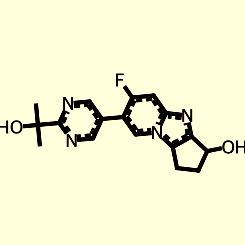 CC(C)(O)c1ncc(-c2cn3c4c(nc3cc2F)C(O)CC4)cn1